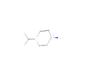 CCC(CC)N1CC[C@@H](N)[C@H](F)C1